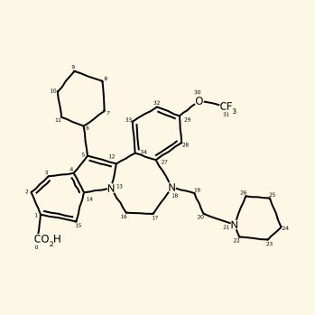 O=C(O)c1ccc2c(C3CCCCC3)c3n(c2c1)CCN(CCN1CCCCC1)c1cc(OC(F)(F)F)ccc1-3